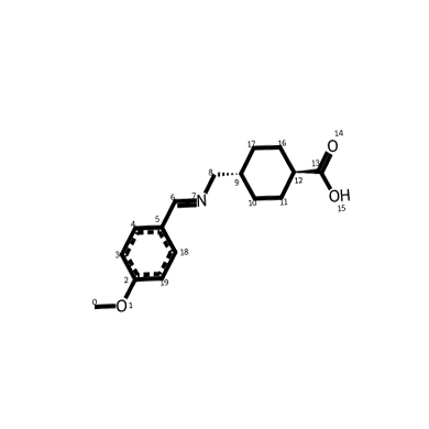 COc1ccc(C=NC[C@H]2CC[C@H](C(=O)O)CC2)cc1